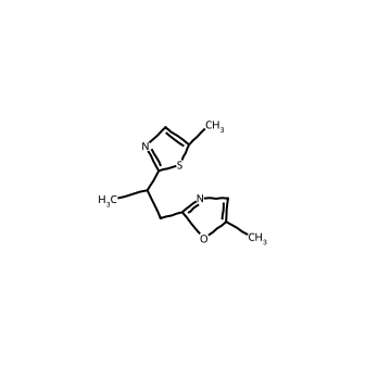 Cc1cnc(CC(C)c2ncc(C)s2)o1